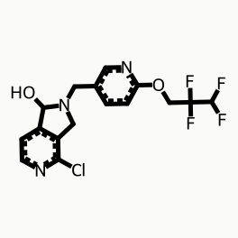 OC1c2ccnc(Cl)c2CN1Cc1ccc(OCC(F)(F)C(F)F)nc1